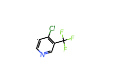 FC(F)(F)c1cnc[c]c1Cl